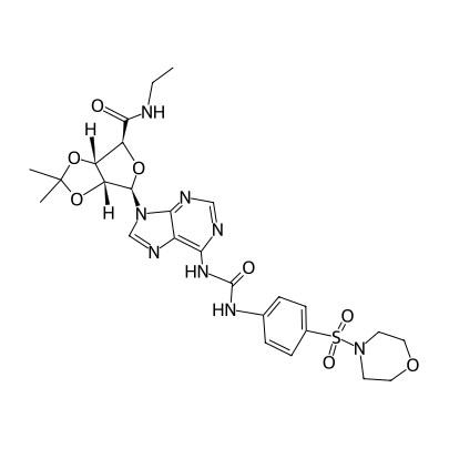 CCNC(=O)[C@H]1O[C@@H](n2cnc3c(NC(=O)Nc4ccc(S(=O)(=O)N5CCOCC5)cc4)ncnc32)[C@@H]2OC(C)(C)O[C@@H]21